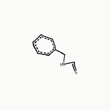 S=CNCc1ccccc1